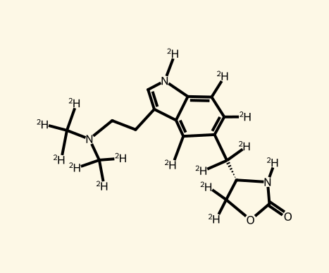 [2H]c1c(C([2H])([2H])[C@@H]2N([2H])C(=O)OC2([2H])[2H])c([2H])c2c(CCN(C([2H])([2H])[2H])C([2H])([2H])[2H])cn([2H])c2c1[2H]